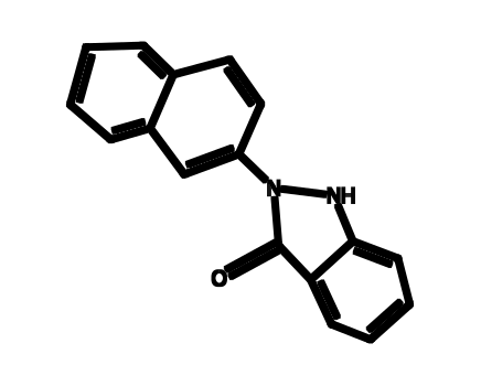 O=c1c2ccccc2[nH]n1-c1ccc2ccccc2c1